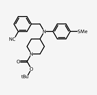 CSc1ccc(N(Cc2cccc(C#N)c2)C2CCN(C(=O)OC(C)(C)C)CC2)cc1